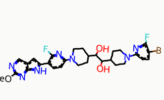 COc1ncc2cc(-c3ccc(N4CCC(C(O)C(O)C5CCN(c6ccc(Br)c(F)n6)CC5)CC4)nc3F)[nH]c2n1